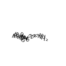 COC(=O)C(CNC(=O)c1cccc(COc2ccc(C(=N)N)cc2)c1)NC(=O)OC(C)(C)C